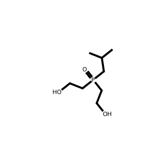 CC(C)CP(=O)(CCO)CCO